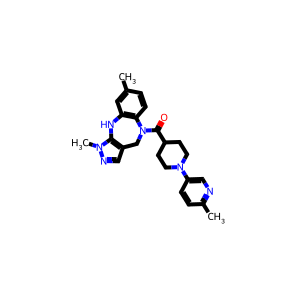 Cc1ccc2c(c1)Nc1c(cnn1C)CN2C(=O)C1CCN(c2ccc(C)nc2)CC1